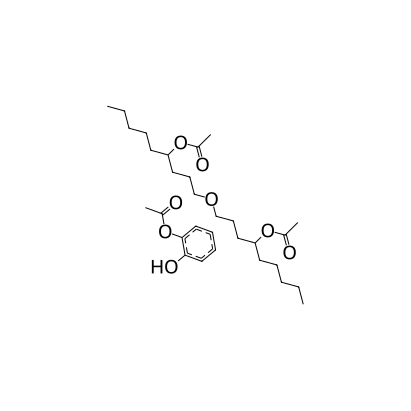 CC(=O)Oc1ccccc1O.CCCCCC(CCCOCCCC(CCCCC)OC(C)=O)OC(C)=O